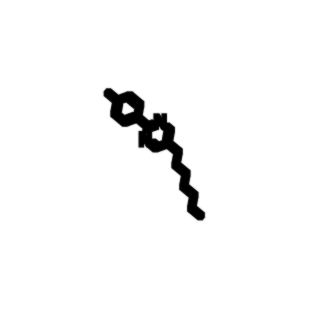 CCCCCCCc1cnc(-c2ccc(C)cc2)nc1